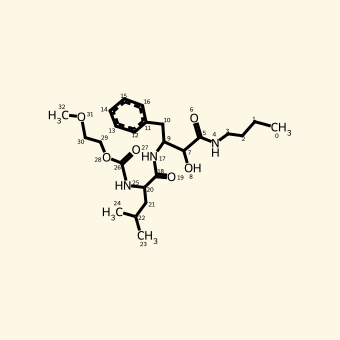 CCCCNC(=O)C(O)C(Cc1ccccc1)NC(=O)C(CC(C)C)NC(=O)OCCOC